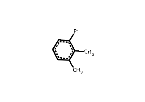 Cc1cccc([P])c1C